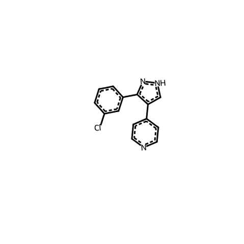 Clc1cccc(-c2n[nH]cc2-c2ccncc2)c1